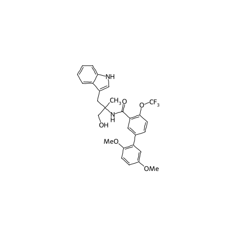 COc1ccc(OC)c(-c2ccc(OC(F)(F)F)c(C(=O)NC(C)(CO)Cc3c[nH]c4ccccc34)c2)c1